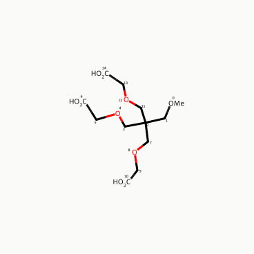 COCC(COCC(=O)O)(COCC(=O)O)COCC(=O)O